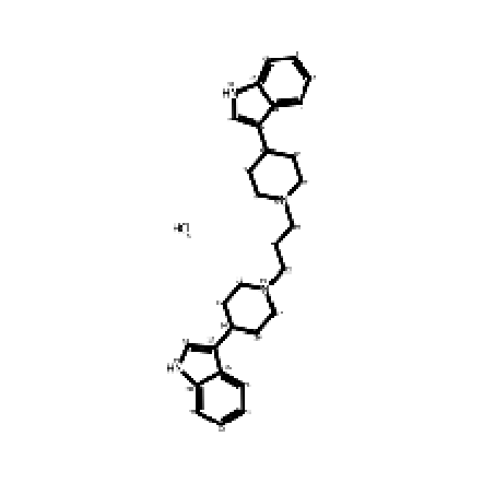 Cl.c1ccc2c(C3CCN(CCCN4CCC(c5c[nH]c6ccccc56)CC4)CC3)c[nH]c2c1